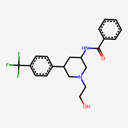 O=C(NC1CC(c2ccc(C(F)(F)F)cc2)CN(CCO)C1)c1ccccc1